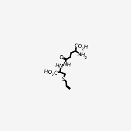 C=CCSCC(NNC(=O)CCC(N)C(=O)O)C(=O)O